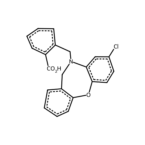 O=C(O)c1ccccc1CN1Cc2ccccc2Oc2ccc(Cl)cc21